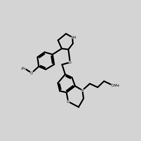 COCCCN1CCOc2ccc(COC3CNCCC3c3ccc(OC(C)C)cc3)cc21